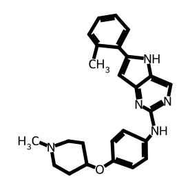 Cc1ccccc1-c1cc2nc(Nc3ccc(OC4CCN(C)CC4)cc3)ncc2[nH]1